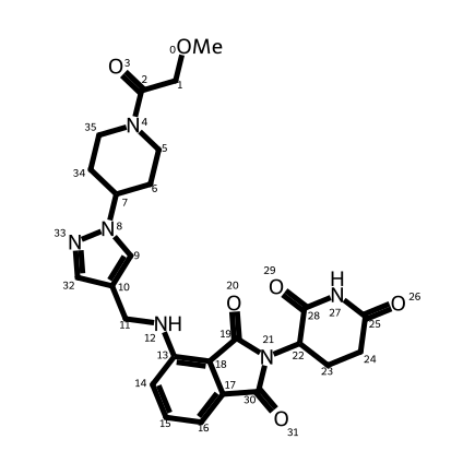 COCC(=O)N1CCC(n2cc(CNc3cccc4c3C(=O)N(C3CCC(=O)NC3=O)C4=O)cn2)CC1